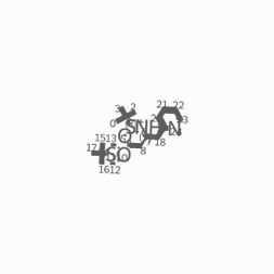 CC(C)(C)[S@+]([O-])N[C@H](CCO[Si](C)(C)C(C)(C)C)Cc1ccccn1